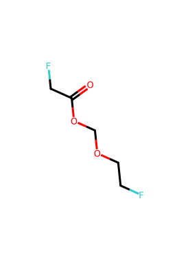 O=C(CF)OCOCCF